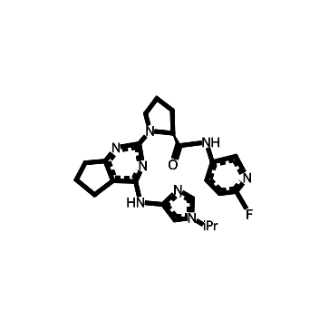 CC(C)n1cnc(Nc2nc(N3CCC[C@H]3C(=O)Nc3ccc(F)nc3)nc3c2CCC3)c1